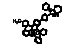 CC1C=C(c2ccccc2)C(c2c3ccccc3c(C3=CC=CCC3(C)c3ccccc3)c3cc(-c4ccc(C5NC6=C(C=CC=CC6)N5C5=CC=CCC5)cc4)ccc23)=CC1